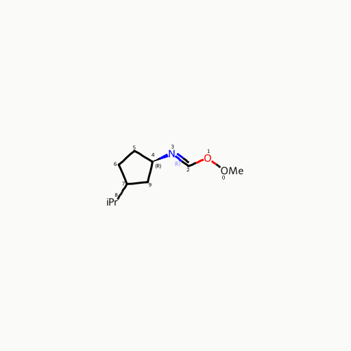 COO/C=N/[C@@H]1CCC(C(C)C)C1